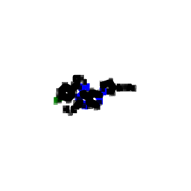 CC(=O)N[C@@H]1CCN(c2cc3c(N[C@H](C)c4ccc(F)cc4)nc(C)nc3cn2)C1